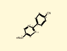 CCCCCCCCCc1cnc(-c2ccc(C#N)cc2)nc1